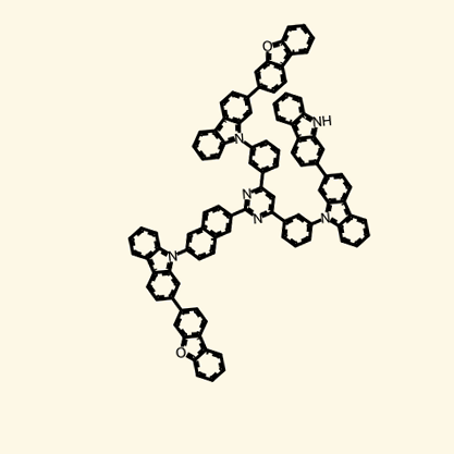 c1cc(-c2cc(-c3cccc(-n4c5ccccc5c5ccc(-c6ccc7c(c6)oc6ccccc67)cc54)c3)nc(-c3ccc4cc(-n5c6ccccc6c6ccc(-c7ccc8c(c7)oc7ccccc78)cc65)ccc4c3)n2)cc(-n2c3ccccc3c3ccc(-c4ccc5c(c4)[nH]c4ccccc45)cc32)c1